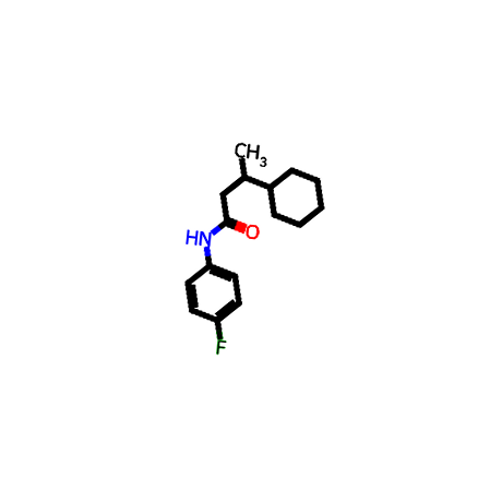 CC(CC(=O)Nc1ccc(F)cc1)C1CCCCC1